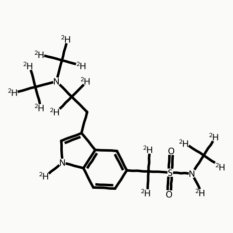 [2H]N(C([2H])([2H])[2H])S(=O)(=O)C([2H])([2H])c1ccc2c(c1)c(CC([2H])([2H])N(C([2H])([2H])[2H])C([2H])([2H])[2H])cn2[2H]